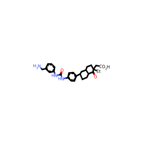 CCC1(CC(=O)O)CCC2CC(c3ccc(NC(=O)Nc4cccc(CN)c4)cc3)CCC2C1=O